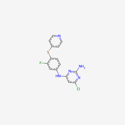 Nc1nc(Cl)cc(Nc2ccc(Sc3ccncc3)c(F)c2)n1